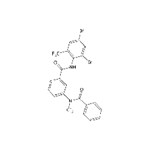 O=C(Nc1c(Br)cc(Br)cc1C(F)(F)F)c1cccc(N(C(=O)c2ccccc2)C(F)(F)F)c1